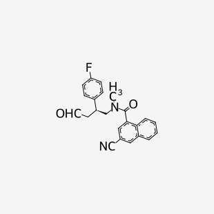 CN(C[C@@H](CC=O)c1ccc(F)cc1)C(=O)c1cc(C#N)cc2ccccc12